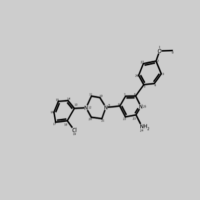 COc1ccc(-c2cc(N3CCN(c4ccccc4Cl)CC3)cc(N)n2)cc1